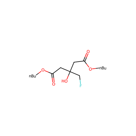 CCCCOC(=O)CC(O)(CF)CC(=O)OCCCC